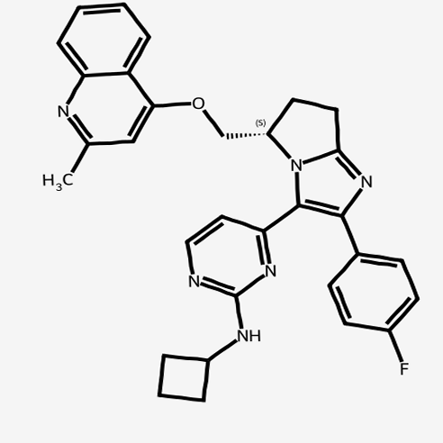 Cc1cc(OC[C@@H]2CCc3nc(-c4ccc(F)cc4)c(-c4ccnc(NC5CCC5)n4)n32)c2ccccc2n1